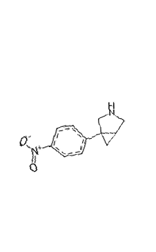 O=[N+]([O-])c1ccc(C23CNCC2C3)cc1